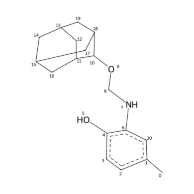 Cc1ccc(O)c(NCOC2C3CC4CC(C3)CC2C4)c1